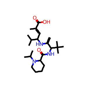 C=C(NC(/C=C(\C)C(=O)O)C(C)C)C(NC(=O)C1CCCCN1C(C)C)C(C)(C)C